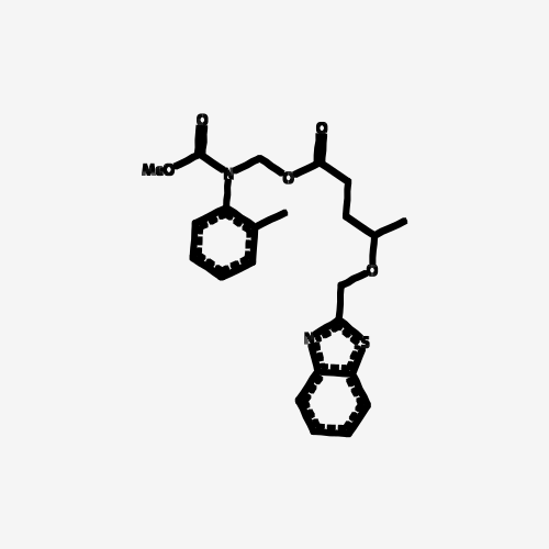 COC(=O)N(COC(=O)CCC(C)OCc1nc2ccccc2s1)c1ccccc1C